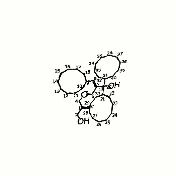 C=C(CO)COCC(=CC1CCCCCCCCC1)C(O)(C1CCCCCCCCC1)C1CCCCCCCCC1